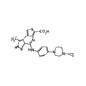 Cc1[nH]nc2c(Nc3ccc(N4CCN(C5CC5)CC4)cc3)nc3c(C(=O)O)scc3c12